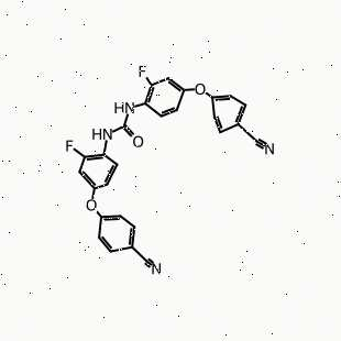 N#Cc1ccc(Oc2ccc(NC(=O)Nc3ccc(Oc4ccc(C#N)cc4)cc3F)c(F)c2)cc1